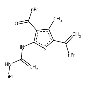 C=C(Nc1sc(C(=C)CCC)c(C)c1C(=O)CCC)NC(C)C